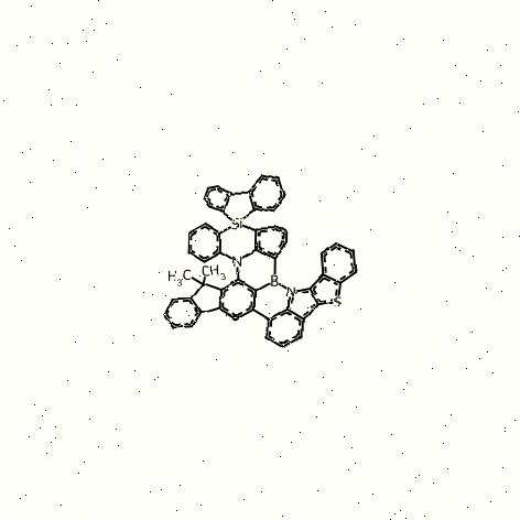 CC1(C)c2ccccc2-c2cc3c4c(c21)N1c2ccccc2[Si]2(c5ccccc5-c5ccccc52)c2cccc(c21)B4n1c2c-3cccc2c2sc3ccccc3c21